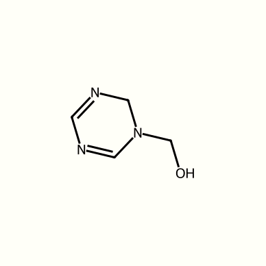 OCN1C=NC=NC1